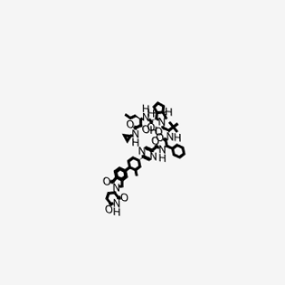 CCC[C@@H](NC(=O)[C@@H]1[C@H]2CCC[C@H]2CN1C(=O)[C@@H](NC(=O)[C@@H](NC(=O)c1cnc([C@H]2CCC(c3ccc4c(c3)CN(C3CCC(=O)NC3=O)C4=O)C(C)C2)cn1)C1CCCCC1)C(C)(C)C)C(O)C(=O)NC1CC1